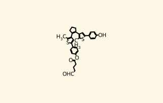 Cc1sc(-c2ccc(O)cc2)cc1C1=C(c2cc(-c3ccc(OC(=O)CCCC=O)cc3)sc2C)CCC1